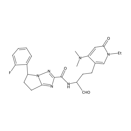 CCn1cc(CCC(C=O)NC(=O)c2nc3n(n2)C(c2ccccc2F)CC3)c(N(C)C)cc1=O